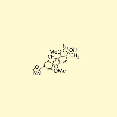 COC1=CC(c2nnco2)CC(C)C12Cc1c(ccc(C(C)(C)O)c1OC)O2